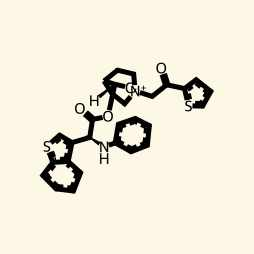 O=C(C[N+]12CCC(CC1)[C@@H](OC(=O)[C@@H](Nc1ccccc1)c1csc3ccccc13)C2)c1cccs1